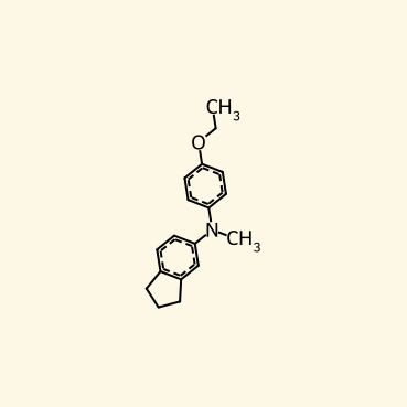 CCOc1ccc(N(C)c2ccc3c(c2)CCC3)cc1